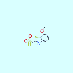 COc1cccc2nc(C[SH](=O)=O)sc12